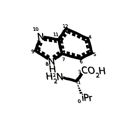 CC(C)[C@H](N)C(=O)O.c1ccc2[nH]cnc2c1